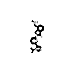 CNCc1cccc2c1CN(c1cccc(-c3cncn3C(C)C)n1)C2=O